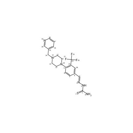 NC(=S)NN=Cc1ccc(N2CCN(Cc3cccnc3)CC2)c(C(F)(F)F)c1